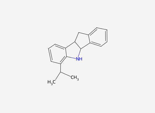 CC(C)c1cccc2c1NC1c3ccccc3CC21